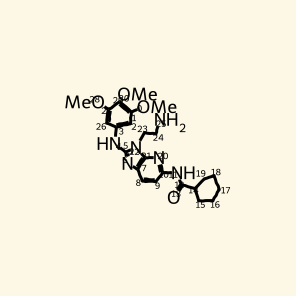 COc1cc(Nc2nc3ccc(NC(=O)C4CCCCC4)nc3n2CCN)cc(OC)c1OC